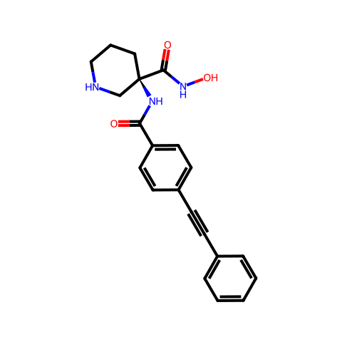 O=C(N[C@]1(C(=O)NO)CCCNC1)c1ccc(C#Cc2ccccc2)cc1